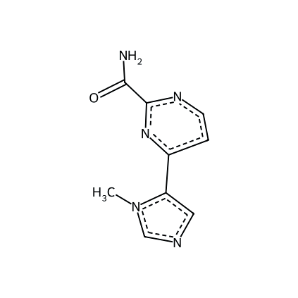 Cn1cncc1-c1ccnc(C(N)=O)n1